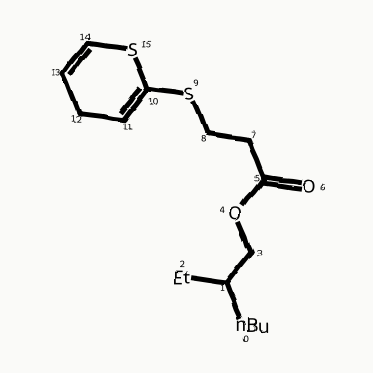 CCCCC(CC)COC(=O)CCSC1=CCC=CS1